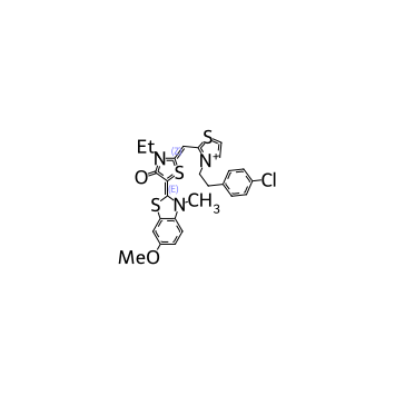 CCn1c(=O)/c(=C2\Sc3cc(OC)ccc3N2C)s/c1=C\c1scc[n+]1CCc1ccc(Cl)cc1